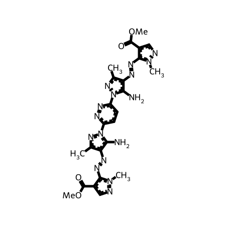 COC(=O)c1cnn(C)c1/N=N/c1c(C)nn(-c2ccc(-n3nc(C)c(/N=N/c4c(C(=O)OC)cnn4C)c3N)nn2)c1N